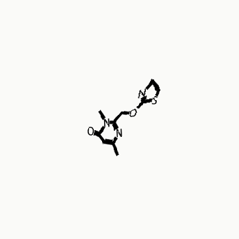 Cc1cc(=O)n(C)c(COc2nccs2)n1